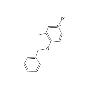 [O-][n+]1ccc(OCc2ccccc2)c(I)c1